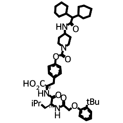 CC(C)C[C@H](NC(=O)COc1ccccc1C(C)(C)C)C(=O)N[C@@H](Cc1ccc(OC(=O)N2CCC(NC(=O)C(C3CCCCC3)C3CCCCC3)CC2)cc1)C(=O)O